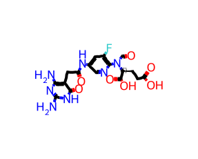 Nc1nc(N)c(CC(=O)Nc2cnc(N(C=O)[C@@H](CCC(=O)O)C(=O)O)c(F)c2)c(=O)[nH]1